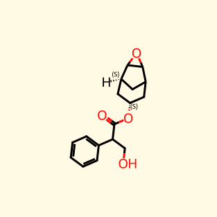 O=C(O[C@H]1CC2C[C@@H](C1)C1OC21)C(CO)c1ccccc1